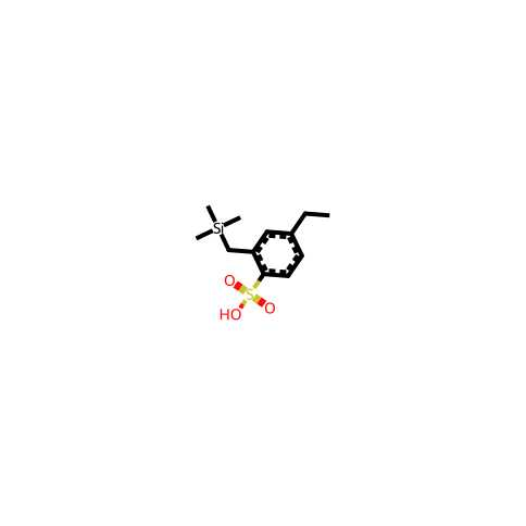 CCc1ccc(S(=O)(=O)O)c(C[Si](C)(C)C)c1